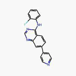 Fc1ccccc1Nc1ncnc2cc(-c3ccncc3)ccc12